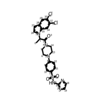 CC(C(=O)N1CCN(c2ccc(S(=O)(=O)Nc3nccs3)cc2)CC1)n1ccc2cc(Cl)c(Cl)cc21